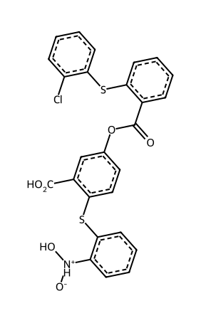 O=C(O)c1cc(OC(=O)c2ccccc2Sc2ccccc2Cl)ccc1Sc1ccccc1[NH+]([O-])O